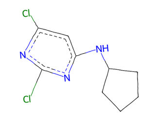 Clc1cc(NC2CCCC2)nc(Cl)n1